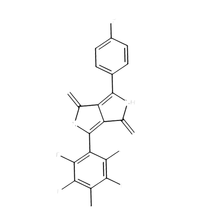 C=c1[nH]c(-c2c(F)c(F)c(C)c(F)c2F)c2c(=C)[nH]c(-c3ccc(C(C)(C)C)cc3)c12